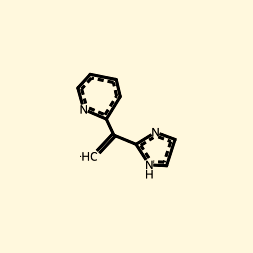 [CH]=C(c1ccccn1)c1ncc[nH]1